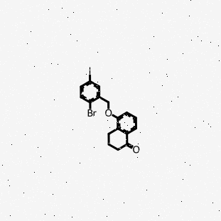 O=C1CCCc2c(OCc3cc(I)ccc3Br)cccc21